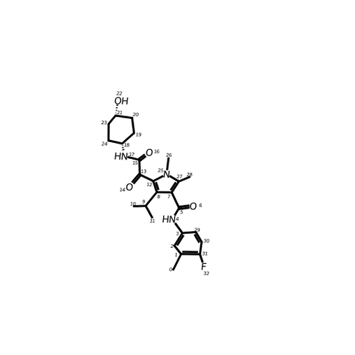 Cc1cc(NC(=O)c2c(C(C)C)c(C(=O)C(=O)N[C@H]3CC[C@@H](O)CC3)n(C)c2C)ccc1F